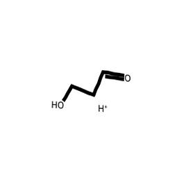 O=CCCO.[H+]